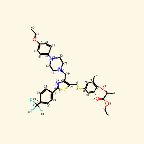 CCOC(=O)C(C)Oc1ccc(SCc2sc(-c3ccc(C(F)(F)F)cc3)nc2CN2CCN(c3ccc(OCC)cc3)CC2)cc1C